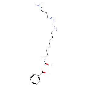 CN(C)CCCN=C=NCCCCCCNC(=O)OC(=O)c1ccccc1